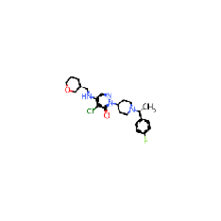 C[C@H](c1ccc(F)cc1)N1CCC(n2ncc(NC[C@@H]3CCCOC3)c(Cl)c2=O)CC1